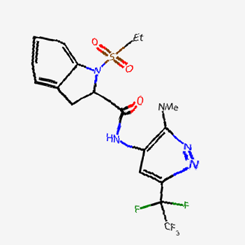 CCS(=O)(=O)N1c2ccccc2CC1C(=O)Nc1cc(C(F)(F)C(F)(F)F)nnc1NC